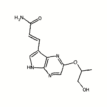 CC(CO)Oc1cnc2[nH]cc(C=CC(N)=O)c2n1